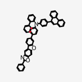 c1ccc(-c2nc3cc4c(cc3o2)oc2cc(-c3ccc(N(c5ccc(-c6cc7ccccc7c7ccccc67)cc5)c5ccccc5-c5ccccc5)cc3)ccc24)cc1